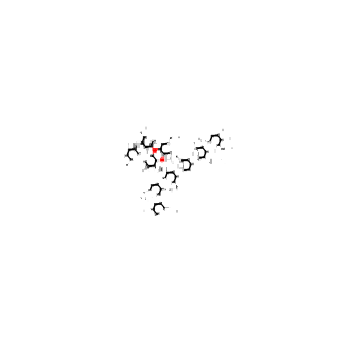 CC(=O)N[C@H]1[C@H](O[C@H]2[C@@H](O)[C@@H](CO[C@@H]3O[C@H](CO)[C@@H](O[C@@H]4O[C@H](CO)[C@H](O)[C@H](O[C@H]5O[C@H](CO)[C@H](O)[C@H](O)[C@H]5NC(C)=O)[C@H]4O[C@@H]4O[C@@H](C)[C@@H](O)[C@@H](O)[C@@H]4O)[C@H](O)[C@H]3NC(C)=O)O[C@@H](O[C@H]3[C@H](O)[C@@H](NC(C)=O)[C@H](O[C@H]4[C@@H](O)[C@@H](CO)O[C@@H](O[C@H]5[C@H](O)[C@@H](O)[C@H](O)O[C@@H]5CO)[C@@H]4O)O[C@@H]3CO)[C@@H]2O)O[C@H](CO)[C@@H](O[C@@H]2O[C@H](CO)[C@H](O)[C@H](O)[C@H]2O)[C@@H]1O